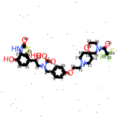 O=C(O)N(Cc1ccc(OCCN2CCC3(CC2)CN(C(=O)C(F)(F)F)CCO3)cc1)CC(O)c1ccc(O)c2[nH]c(=O)sc12